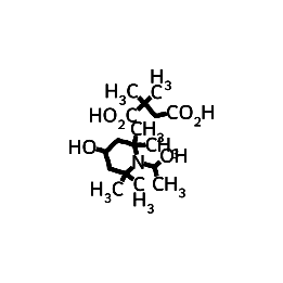 CC(C)(CC(=O)O)C(=O)O.CC(O)N1C(C)(C)CC(O)CC1(C)C